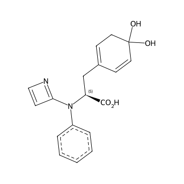 O=C(O)[C@H](CC1=CCC(O)(O)C=C1)N(C1=NC=C1)c1ccccc1